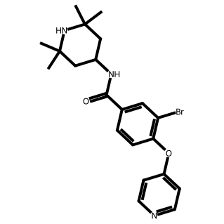 CC1(C)CC(NC(=O)c2ccc(Oc3ccncc3)c(Br)c2)CC(C)(C)N1